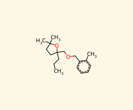 CCCC1(COCc2ccccc2C)CCC(C)(C)O1